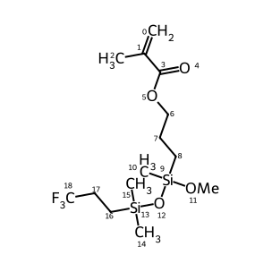 C=C(C)C(=O)OCCC[Si](C)(OC)O[Si](C)(C)CCC(F)(F)F